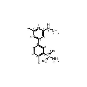 Cc1nc(NN)cc(-c2ccc(C)c(S(N)(=O)=O)c2)n1